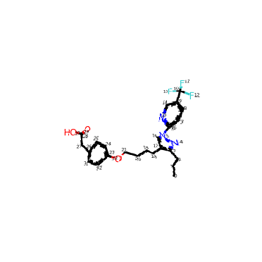 CCCc1nn(-c2ccc(C(F)(F)F)cn2)cc1CCCCOc1ccc(CC(=O)O)cc1